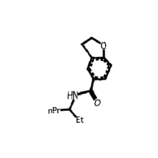 CCCC(CC)NC(=O)c1ccc2c(c1)CCO2